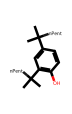 CCCCCC(C)(C)c1ccc(O)c(C(C)(C)CCCCC)c1